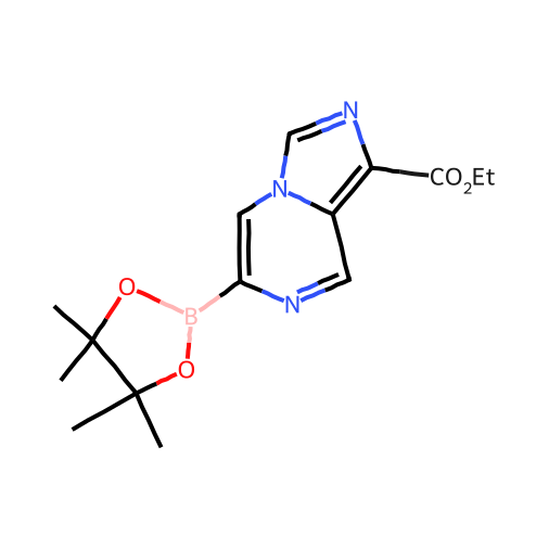 CCOC(=O)c1ncn2cc(B3OC(C)(C)C(C)(C)O3)ncc12